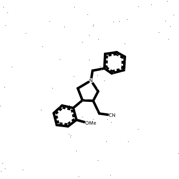 COc1ccccc1C1CN(Cc2ccccc2)CC1CC#N